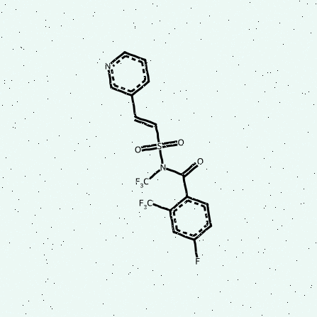 O=C(c1ccc(F)cc1C(F)(F)F)N(C(F)(F)F)S(=O)(=O)C=Cc1cccnc1